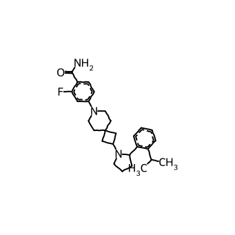 CC(C)c1ccccc1C1CCCN1C1CC2(CCN(c3ccc(C(N)=O)c(F)c3)CC2)C1